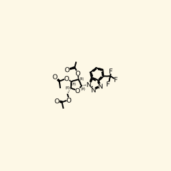 CC(=O)OC[C@H]1O[C@@H](n2nnc3c(C(F)(F)F)cccc32)[C@H](OC(C)=O)[C@@H]1OC(C)=O